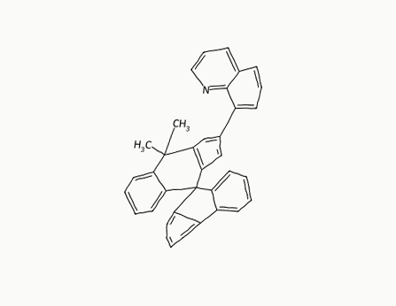 CC1(C)c2ccccc2C2(c3ccccc3-c3ccccc32)c2ccc(-c3cccc4cccnc34)cc21